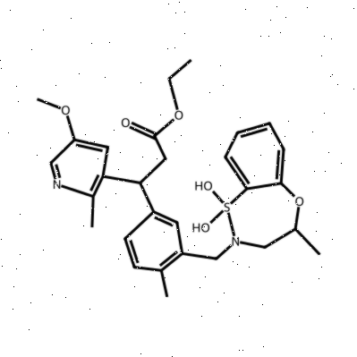 CCOC(=O)CC(c1ccc(C)c(CN2CC(C)Oc3ccccc3S2(O)O)c1)c1cc(OC)cnc1C